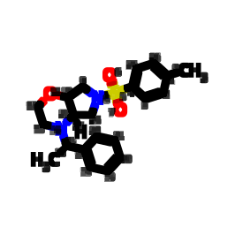 Cc1ccc(S(=O)(=O)N2CC3OCCN([C@H](C)c4ccccc4)[C@H]3C2)cc1